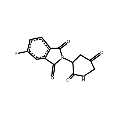 O=C1CNC(=O)C(N2C(=O)c3ccc(F)cc3C2=O)C1